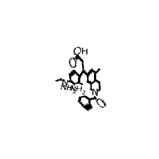 CCN(N)c1ccc(C(CC(=O)O)c2cc(C)c3c(c2)CN(C(=O)c2ccccc2)CC3)c(C)c1N